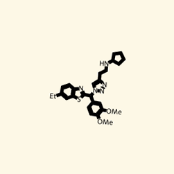 CCc1ccc2nc(C(c3ccc(OC)c(OC)c3)n3cc(CCNC4CCCC4)nn3)sc2c1